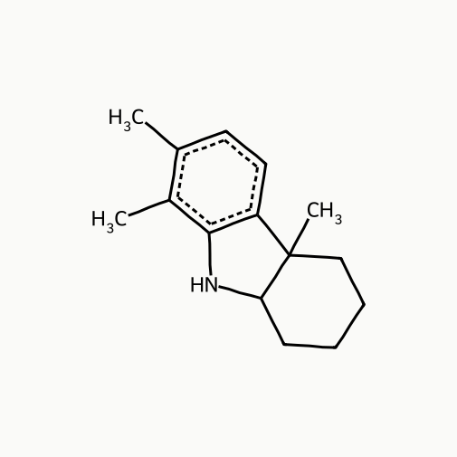 Cc1ccc2c(c1C)NC1CCCCC21C